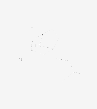 NN1C[C@H]2CC[C@@](COC(F)F)(C1)N2